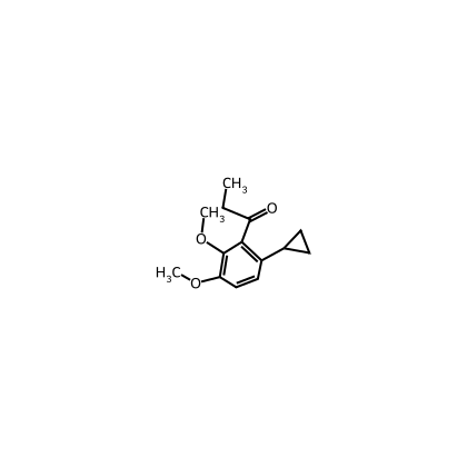 CCC(=O)c1c(C2CC2)ccc(OC)c1OC